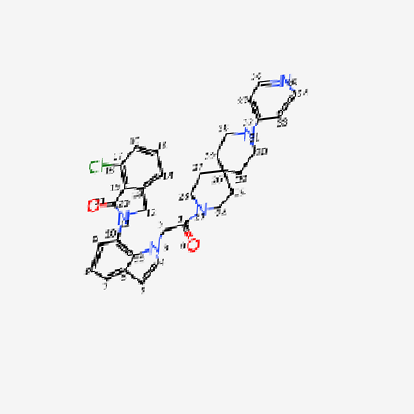 O=C(Cn1ccc2cccc(N3Cc4cccc(Cl)c4C3=O)c21)N1CCC2(CC1)CCN(c1ccncc1)CC2